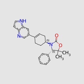 CC1(C)OC(=O)N([C@@H]2CC=C(c3cnc4cc[nH]c4c3)CC2)[C@H]1c1ccccc1